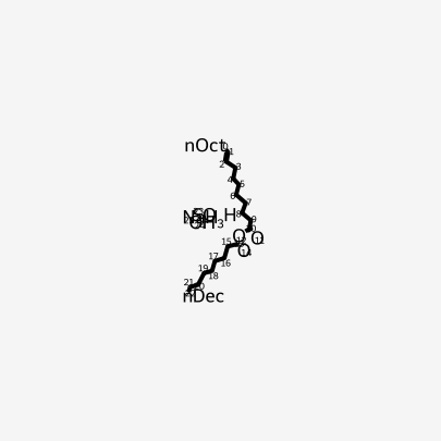 CCCCCCCCC=CCCCCCCCC(=O)OC(=O)CCCCCCCCCCCCCCCCC.O=S(=O)(O)O.[NaH]